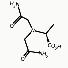 C[C@@H](C(=O)O)N(CC(N)=O)CC(N)=O